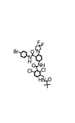 CC(C)(C)C(=O)NCc1ccc(Cl)c(C(=O)Nc2ccc(N3CCC(F)(F)C3)c(C(=O)Nc3ccc(Br)cc3)c2)c1Cl